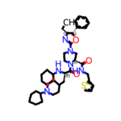 CC[C@@H]1N=C(N2CCN(C(=O)[C@@H](CC3CCN(C4CCCCC4)CC3)NC3CCCCC3)[C@H](C(=O)NCc3cccs3)C2)O[C@H]1c1ccccc1